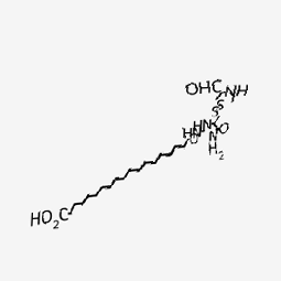 NC(=O)C(CSSCC(C=O)NI)NCNOCCCCCCCCCCCCCCCCCCC(=O)O